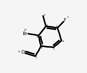 Cc1c(F)ccc(C=O)c1Br